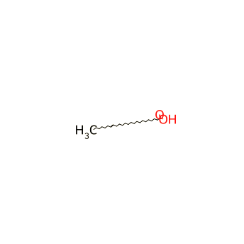 CCCCCCC=CCCCCCCCCCCCCCCCC(=O)O